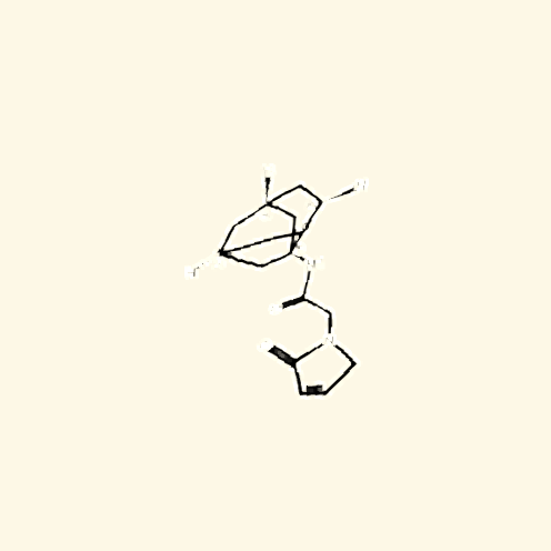 O=C(CN1CC=CC1=O)N[C@@]12C[C@@H]3C[C@@H](C[C@H](C3)O1)C2